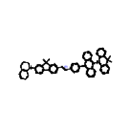 CC1(C)c2cc(/C=C/c3ccc(-c4c5ccccc5c(N5c6ccccc6C(C)(C)c6ccccc65)c5ccccc45)cc3)ccc2-c2ccc(N3CCCC4=C3CCC=C4)cc21